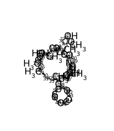 CO[C@@H]1C[C@H](C[C@@H](C)[C@@H]2CC(=O)[C@H](C)/C=C(\C)[C@@H](O)[C@@H](OC)C(=O)[C@H](C)C[C@H](C)/C=C/C=C/C=C(\C)[C@@H](OCC3COCCOCCOCCOCCO3)C[C@@H]3CC[C@@H](C)[C@@](O)(O3)C(=O)C(=O)N3CCCCC3C(=O)O2)CC[C@H]1O